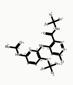 [2H]C([2H])([2H])NC(=O)c1nnc(Cl)cc1Nc1nc(NC(=O)C(C)(C)C)ccc1SC([2H])([2H])[2H]